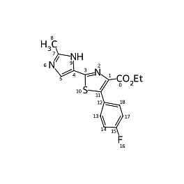 CCOC(=O)c1nc(-c2cnc(C)[nH]2)sc1-c1ccc(F)cc1